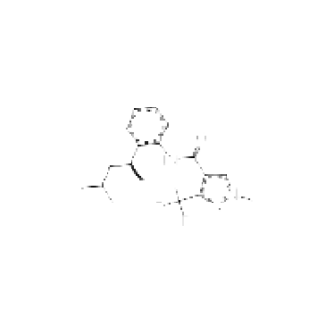 C=C(CC(C)C)c1ccccc1NC(=O)c1cn(C)nc1C(F)(F)F